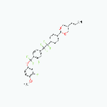 C/C=C/C1COC(C2CCC(C(F)(F)C(F)(F)c3ccc(C(F)(F)Oc4ccc(OC(F)(F)F)c(F)c4)c(F)c3)CC2)OC1